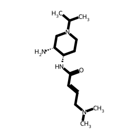 CC(C)N1CC[C@H](NC(=O)/C=C/CN(C)C)[C@H](N)C1